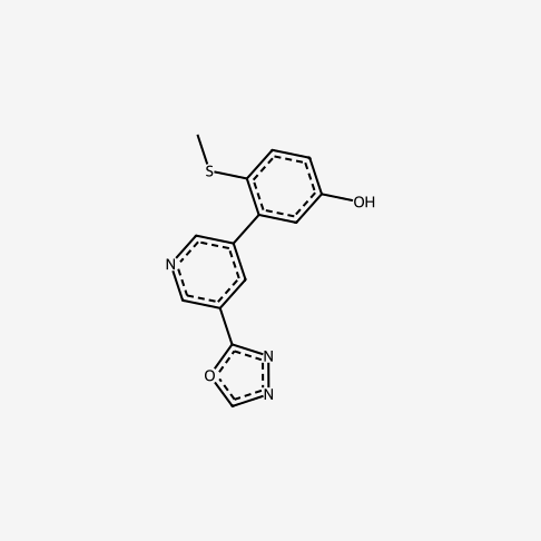 CSc1ccc(O)cc1-c1cncc(-c2nnco2)c1